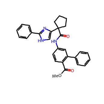 COC(=O)c1ccc(NC(=O)C2(c3c[nH]c(-c4ccccc4)n3)CCCC2)cc1-c1ccccc1